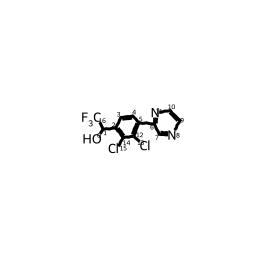 OC(c1ccc(-c2cnccn2)c(Cl)c1Cl)C(F)(F)F